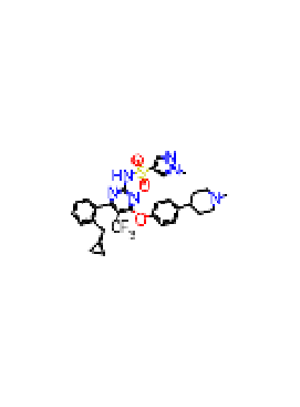 CN1CCC(c2ccc(Oc3nc(NS(=O)(=O)c4cnn(C)c4)nc(-c4ccccc4CC4CC4)c3C(F)(F)F)cc2)CC1